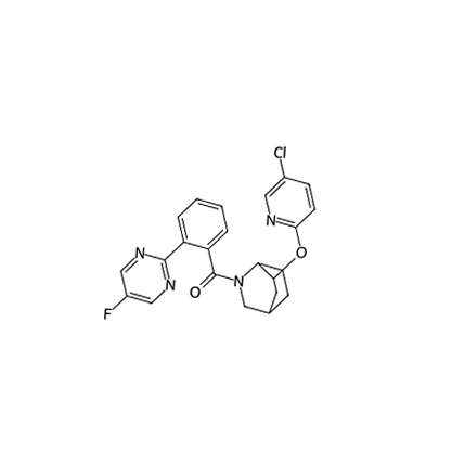 O=C(c1ccccc1-c1ncc(F)cn1)N1CC2CCC1C(Oc1ccc(Cl)cn1)C2